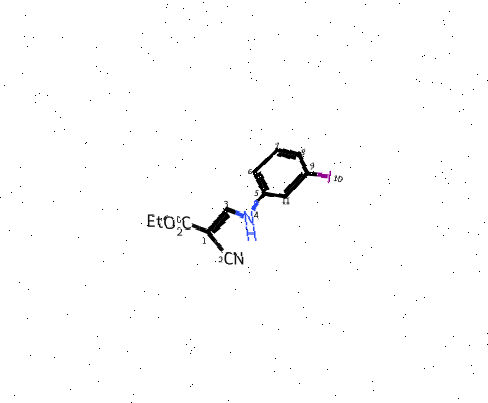 CCOC(=O)C(C#N)=CNc1cccc(I)c1